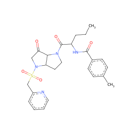 CCCC(NC(=O)c1ccc(C)cc1)C(=O)N1CCC2C1C(=O)CN2S(=O)(=O)Cc1ccccn1